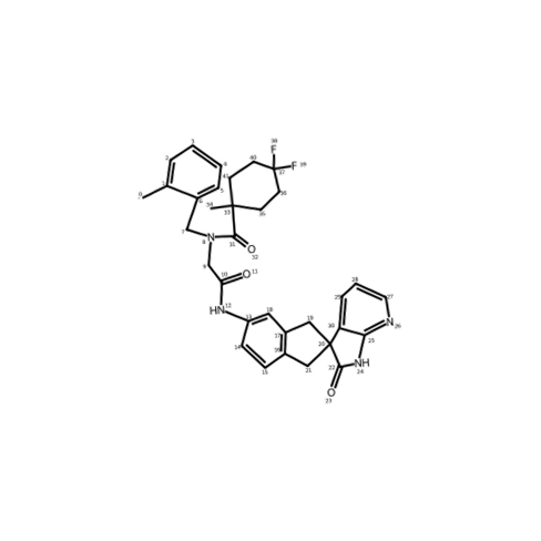 [CH2]c1ccccc1CN(CC(=O)Nc1ccc2c(c1)CC1(C2)C(=O)Nc2ncccc21)C(=O)C1(C)CCC(F)(F)CC1